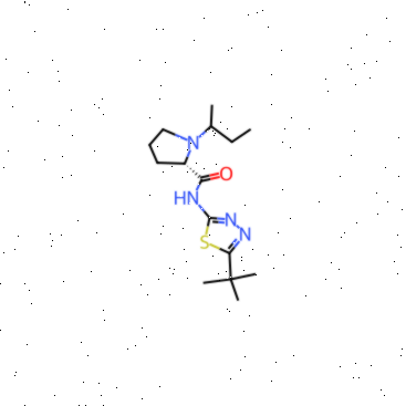 CCC(C)N1CCC[C@H]1C(=O)Nc1nnc(C(C)(C)C)s1